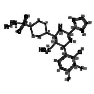 CC(C)NS(=O)(=O)C1CCC(C2=C(C(=O)O)C(c3ccc(F)c(F)c3Cl)N=C(c3nccs3)N2)CC1